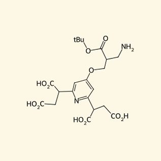 CC(C)(C)OC(=O)C(CN)COc1cc(C(CC(=O)O)C(=O)O)nc(C(CC(=O)O)C(=O)O)c1